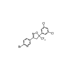 FC(F)(F)C1(c2cc(Cl)cc(Cl)c2)CC(c2ccc(Br)nc2)=NO1